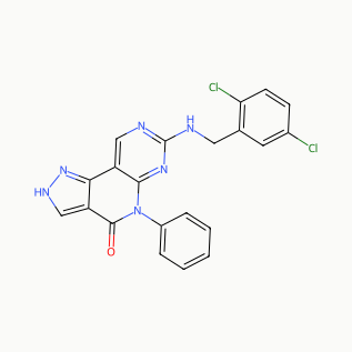 O=c1c2c[nH]nc2c2cnc(NCc3cc(Cl)ccc3Cl)nc2n1-c1ccccc1